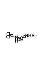 CC(=O)Nc1ccc(OC[C@@H](O)CNCCc2ccc(Cl)c(Cl)c2)cc1